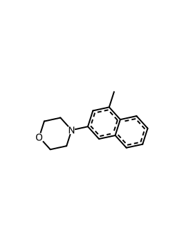 Cc1cc(N2CCOCC2)cc2ccccc12